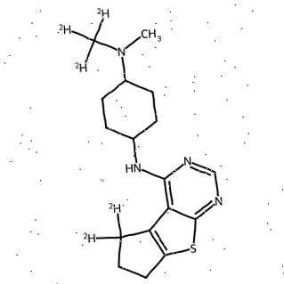 [2H]C1([2H])CCc2sc3ncnc(NC4CCC(N(C)C([2H])([2H])[2H])CC4)c3c21